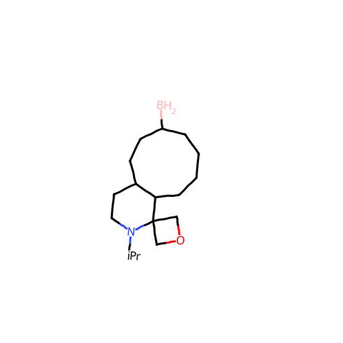 BC1CCCCC2C(CC1)CCN(C(C)C)C21COC1